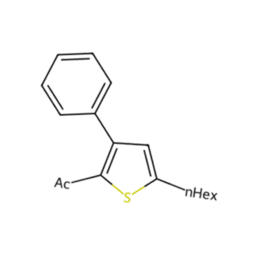 CCCCCCc1cc(-c2ccccc2)c(C(C)=O)s1